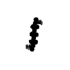 CC1(C)c2ccccc2-c2ccc(-c3c4ccccc4c(-c4ccc(-c5c6ccccc6c(-c6ccc(-c7c8ccccc8c(-c8ccc9c(c8)C(C)(C)c8ccccc8-9)c8ccccc78)cc6)c6ncccc56)cc4)c4ccccc34)cc21